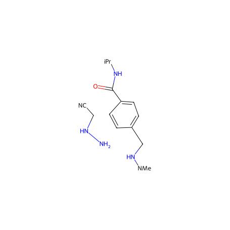 CNNCc1ccc(C(=O)NC(C)C)cc1.N#CCNN